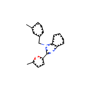 Cc1cccc(Cn2c(-c3ccc(C)o3)nc3ccccc32)c1